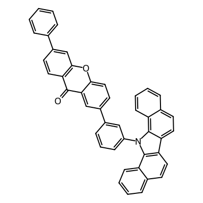 O=c1c2ccc(-c3ccccc3)cc2oc2ccc(-c3cccc(-n4c5c6ccccc6ccc5c5ccc6ccccc6c54)c3)cc12